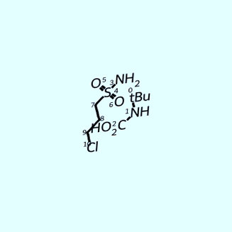 CC(C)(C)NC(=O)O.NS(=O)(=O)CCCCl